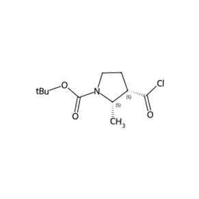 C[C@H]1[C@@H](C(=O)Cl)CCN1C(=O)OC(C)(C)C